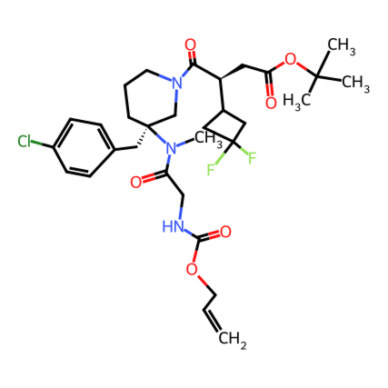 C=CCOC(=O)NCC(=O)N(C)[C@@]1(Cc2ccc(Cl)cc2)CCCN(C(=O)[C@@H](CC(=O)OC(C)(C)C)C2CC(F)(F)C2)C1